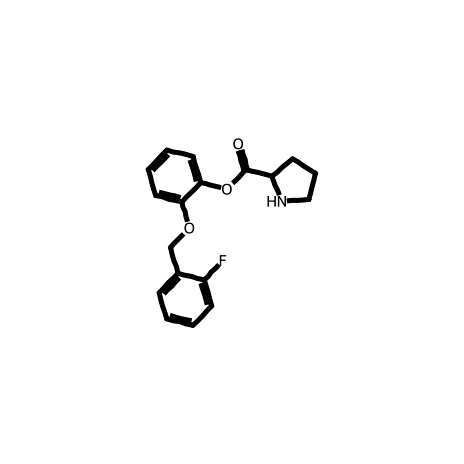 O=C(Oc1ccccc1OCc1ccccc1F)C1CCCN1